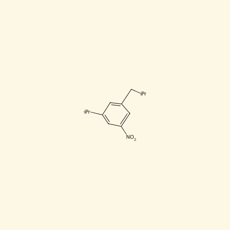 C[C](C)c1cc(CC(C)C)cc([N+](=O)[O-])c1